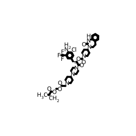 C=C(C)C(=O)OCOC(=O)CN1CCC(N2CCN(C(=O)[C@@H](Cc3cc(Cl)c(N)c(C(F)(F)F)c3)OC(=O)N3CCC(N4CCc5ccccc5NC4=O)CC3)CC2)CC1